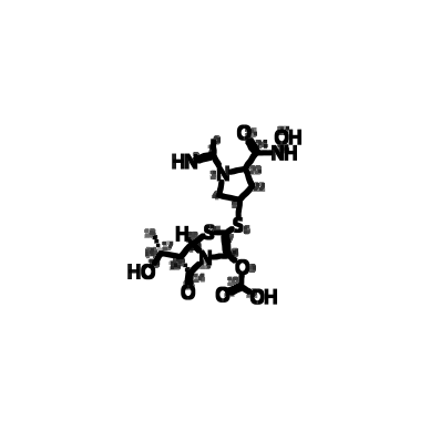 CC(=N)N1CC(SC2=C(OC(=O)O)N3C(=O)[C@H]([C@@H](C)O)[C@H]3S2)CC1C(=O)NO